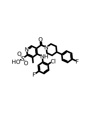 Cc1c(S(=O)(=O)O)ncc(C(=O)N2CCC(c3ccc(F)cc3)CC2)c1Nc1cc(F)ccc1Cl